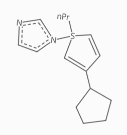 CCCS1(n2ccnc2)C=CC(C2CCCC2)=C1